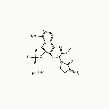 COC(=O)[C@@H](Cc1cc2ccnc(N)c2cc1OC(F)(F)F)N1CC[C@H](N)C1=O.Cl.Cl